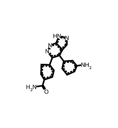 NC(=O)c1ccc(-c2nnc3[nH]ncc3c2-c2cccc(N)c2)cc1